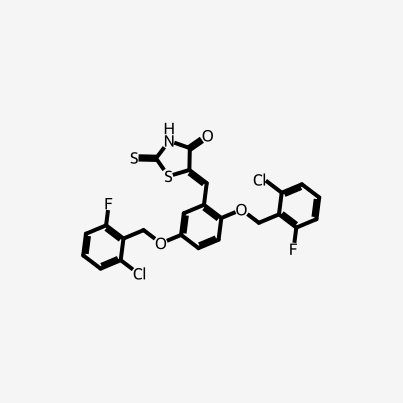 O=C1NC(=S)S/C1=C\c1cc(OCc2c(F)cccc2Cl)ccc1OCc1c(F)cccc1Cl